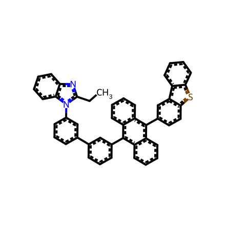 CCc1nc2ccccc2n1-c1cccc(-c2cccc(-c3c4ccccc4c(-c4ccc5sc6ccccc6c5c4)c4ccccc34)c2)c1